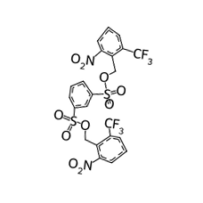 O=[N+]([O-])c1cccc(C(F)(F)F)c1COS(=O)(=O)c1cccc(S(=O)(=O)OCc2c([N+](=O)[O-])cccc2C(F)(F)F)c1